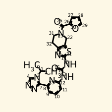 CC(C)n1cnnc1-c1cccc(NC(=O)Nc2nc3c(s2)CN(C(=O)c2ccco2)CC3)n1